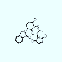 CC(CN1C(=O)C=CC1=O)SN1C(=O)CCC(N2Cc3ccccc3C2=O)C1=O